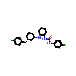 O=C(Nc1ccc(F)cc1)N[C@@H]1CCCC[C@H]1N[C@@H]1CCC[C@H](Cc2ccc(F)cc2)C1